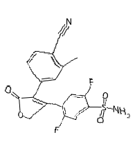 Cc1cc(C2=C(c3cc(F)c(S(N)(=O)=O)cc3F)COC2=O)ccc1C#N